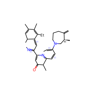 C=C1CCCN(C(/C=C\C2=NC(C(/C=C3/C(CC)=C(C)C(C)=CC3C)=N/C)=CC(=O)C2C)=C/C)C[C@@H]1C